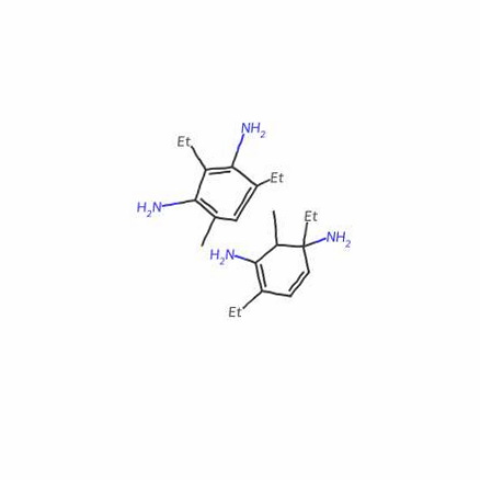 CCC1=C(N)C(C)C(N)(CC)C=C1.CCc1cc(C)c(N)c(CC)c1N